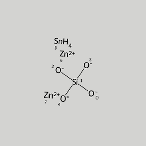 [O-][Si]([O-])([O-])[O-].[SnH4].[Zn+2].[Zn+2]